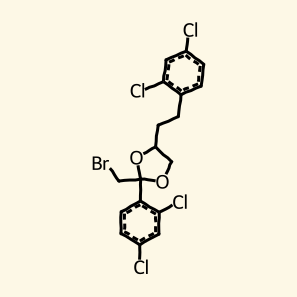 Clc1ccc(CCC2COC(CBr)(c3ccc(Cl)cc3Cl)O2)c(Cl)c1